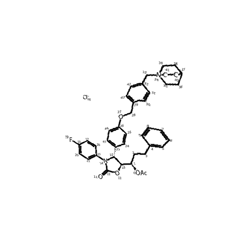 CC(=O)O[C@H](CCc1ccccc1)[C@H]1OC(=O)N(c2ccc(F)cc2)[C@@H]1c1ccc(OCc2ccc(C[N+]34CCC(CC3)CC4)cc2)cc1.[Cl-]